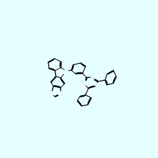 c1ccc(-c2nc(-c3ccccc3)nc(-c3cccc(-n4c5ccccc5c5cc6scnc6cc54)c3)n2)cc1